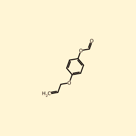 C=CCOc1ccc(OC=O)cc1